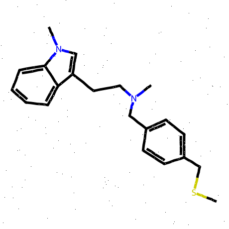 CSCc1ccc(CN(C)CCc2cn(C)c3ccccc23)cc1